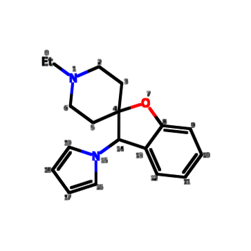 CCN1CCC2(CC1)Oc1ccccc1C2n1cccc1